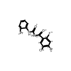 CC(C)c1ccccc1NC(=O)NC(=O)c1cc(Cl)c(Br)cc1F